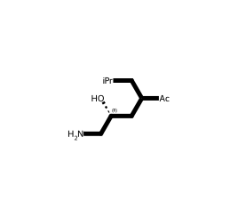 CC(=O)C(CC(C)C)C[C@@H](O)CN